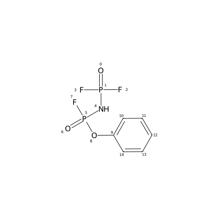 O=P(F)(F)NP(=O)(F)Oc1ccccc1